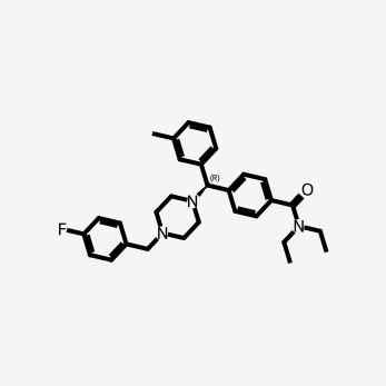 CCN(CC)C(=O)c1ccc([C@H](c2cccc(C)c2)N2CCN(Cc3ccc(F)cc3)CC2)cc1